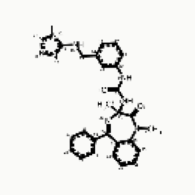 CN1C(=O)[C@@](C)(NC(=O)Nc2cccc(CNc3nnn[nH]3)c2)N=C(c2ccccc2)c2ccccc21